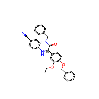 CCOc1cc([C@@H](Nc2ccc(C#N)cc2)C(=O)NCc2ccccc2)ccc1OCc1ccccc1